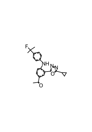 CC(=O)c1ccc(Nc2ccc(C(C)(C)F)cc2)c(-c2nnc(C3CC3)o2)c1